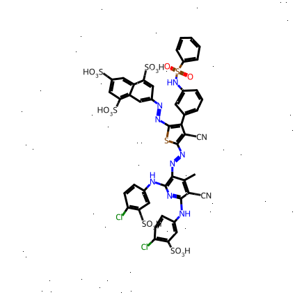 Cc1c(C#N)c(Nc2ccc(Cl)c(S(=O)(=O)O)c2)nc(Nc2ccc(Cl)c(S(=O)(=O)O)c2)c1N=Nc1sc(N=Nc2cc(S(=O)(=O)O)c3cc(S(=O)(=O)O)cc(S(=O)(=O)O)c3c2)c(-c2cccc(NS(=O)(=O)c3ccccc3)c2)c1C#N